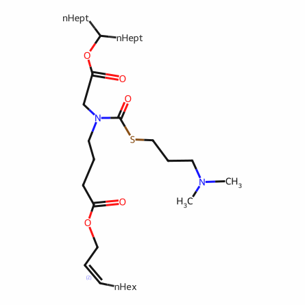 CCCCCC/C=C\COC(=O)CCCN(CC(=O)OC(CCCCCCC)CCCCCCC)C(=O)SCCCN(C)C